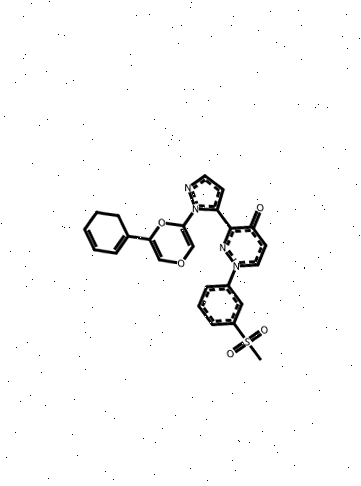 CS(=O)(=O)c1cccc(-n2ccc(=O)c(-c3ccnn3C3=COC=C(C4=CC=CCC4)O3)n2)c1